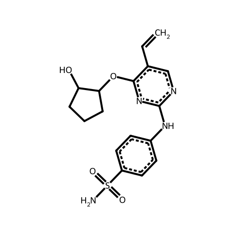 C=Cc1cnc(Nc2ccc(S(N)(=O)=O)cc2)nc1OC1CCCC1O